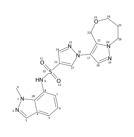 Cn1ncc2cccc(NS(=O)(=O)c3cnn(-c4cnn5c4COCCC5)c3)c21